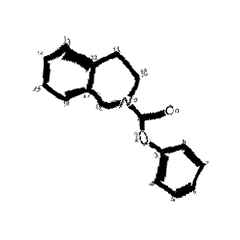 O=C(Oc1ccccc1)N1CCc2ccccc2C1